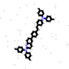 Cc1ccc(N(c2ccc(C)cc2)c2ccc(/C=C/c3ccc(-c4ccc5nc(N(c6ccc(C)cc6)c6ccc(C)cc6)ccc5c4)cc3)cc2)cc1